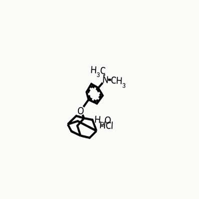 CN(C)c1ccc(OC23CC4CC(CC(C4)C2)C3)cc1.Cl.O